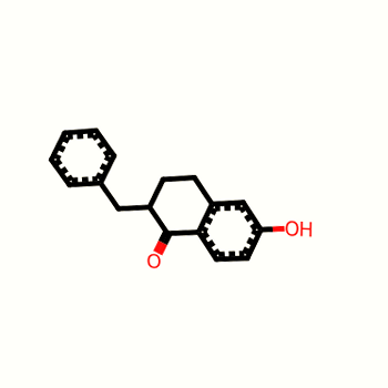 O=C1c2ccc(O)cc2CCC1Cc1ccccc1